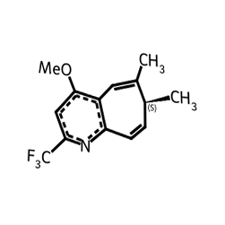 COc1cc(C(F)(F)F)nc2c1C=C(C)[C@@H](C)C=C2